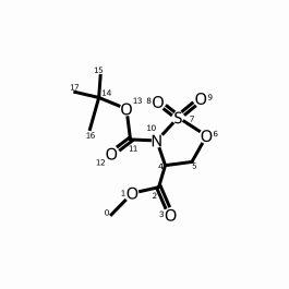 COC(=O)C1COS(=O)(=O)N1C(=O)OC(C)(C)C